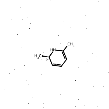 CC1=CC=C[C@@H](C)N1